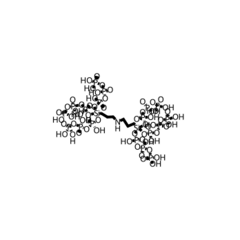 O=P(O)(O)OP(=O)(O)OP(=O)(O)O[Si](CCCNCCC[Si](OP(=O)(O)OP(=O)(O)OP(=O)(O)O)(OP(=O)(O)OP(=O)(O)OP(=O)(O)O)OP(=O)(O)OP(=O)(O)OP(=O)(O)O)(OP(=O)(O)OP(=O)(O)OP(=O)(O)O)OP(=O)(O)OP(=O)(O)OP(=O)(O)O